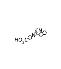 N#CC1=CN(c2ccc(C(=O)O)cc2)CC1c1ccc2ccccc2c1